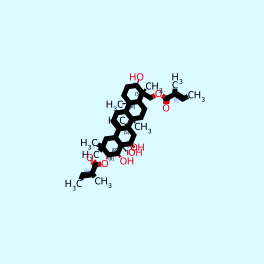 C/C=C(\C)C(=O)OC[C@]1(C)C2CC[C@]3(C)C(CC=C4C5CC(C)(C)[C@@H](OC(=O)/C(C)=C/C)[C@H](O)[C@]5(CO)[C@H](O)C[C@]43C)[C@@]2(C)CC[C@@H]1O